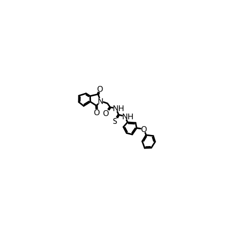 O=C(CN1C(=O)c2ccccc2C1=O)NC(=S)Nc1cccc(Oc2ccccc2)c1